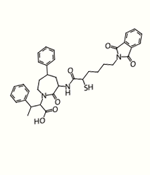 CC(c1ccccc1)C(C(=O)O)N1CCC(c2ccccc2)CC(NC(=O)C(S)CCCCN2C(=O)c3ccccc3C2=O)C1=O